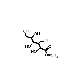 COC(=O)[C@@H](O)[C@H](O)[C@H](O)C(O)CO